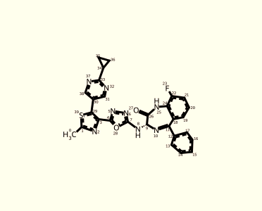 Cc1nc(-c2nnc(N[C@H]3N=C(c4ccccc4)c4cccc(F)c4NC3=O)o2)c(-c2cnc(C3CC3)nc2)s1